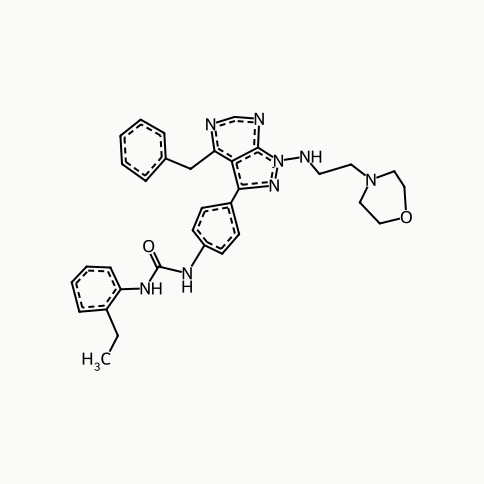 CCc1ccccc1NC(=O)Nc1ccc(-c2nn(NCCN3CCOCC3)c3ncnc(Cc4ccccc4)c23)cc1